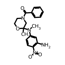 CN(c1ccc([N+](=O)[O-])c(N)c1)C1(C)CN(C(=O)c2ccccc2)CCO1